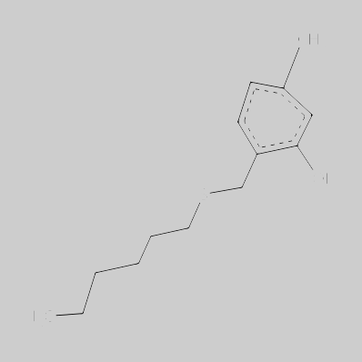 CCCCCCSCc1ccc(C)cc1O